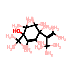 BC(B)=C(C(B)(B)B)C1(B)C(B)=C(B)C(O)(C(B)(B)B)C(B)(B)C1(B)B